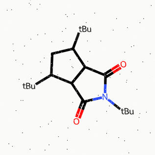 CC(C)(C)C1CC(C(C)(C)C)C2C(=O)N(C(C)(C)C)C(=O)C21